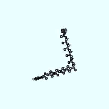 [Nb+5].[Nb+5].[O]=[Ti]([O-])[O-].[O]=[Ti]([O-])[O-].[O]=[Ti]([O-])[O-].[O]=[Ti]([O-])[O-].[O]=[Ti]([O-])[O-].[O]=[Ti]([O-])[O-].[O]=[Ti]([O-])[O-].[O]=[Ti]([O-])[O-].[O]=[Ti]([O-])[O-].[O]=[Ti]([O-])[O-].[O]=[Ti]([O-])[O-].[Pb+2].[Pb+2].[Zr+4].[Zr+4]